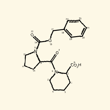 O=C(O)C1CCCCN1C(=O)C1CCCN1C(=O)OCc1ccccc1